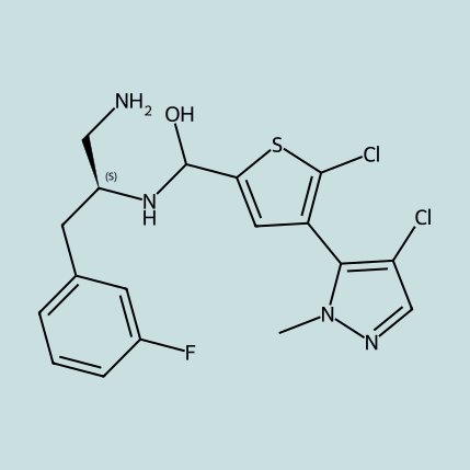 Cn1ncc(Cl)c1-c1cc(C(O)N[C@H](CN)Cc2cccc(F)c2)sc1Cl